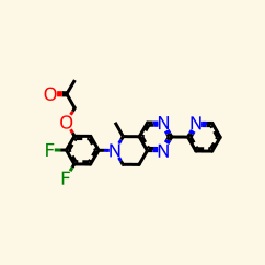 CC(=O)COc1cc(N2CCc3nc(-c4ccccn4)ncc3C2C)cc(F)c1F